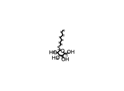 CCCCCCCSC1OC(CO)C(O)C(O)C1O